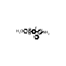 CN1CCN(S(=O)(=O)c2ccc(C3C=NC(N)=CN3c3cccnc3)c(F)c2)CC1